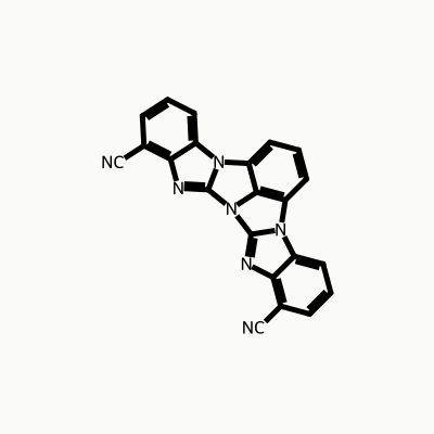 N#Cc1cccc2c1nc1n2c2cccc3c2n1c1nc2c(C#N)cccc2n31